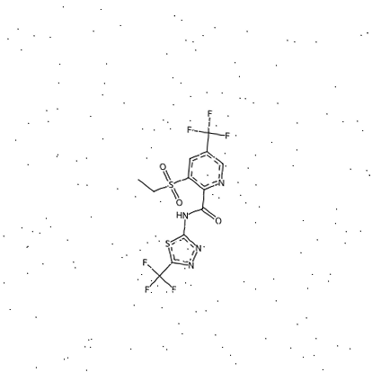 CCS(=O)(=O)c1cc(C(F)(F)F)cnc1C(=O)Nc1nnc(C(F)(F)F)s1